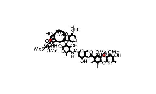 CCNC1COCC(OC2C(O[C@H]3C#C/C=C\C#C[C@]4(O)CC(=O)C(NC(=O)OC)C3/C4=C\CSSSC)OC(C)C(NOC3CC(O)C(SC(=O)c4c(C)c(I)c(OC5OC(C)C(O)C(OC)C5O)c(OC)c4OC)C(C)O3)C2O)C1OC